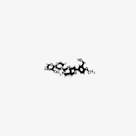 COc1ccc(-c2cc3nc(N4CCO[C@H](C5OCCNC5C)C4)ncc3cn2)cc1CO